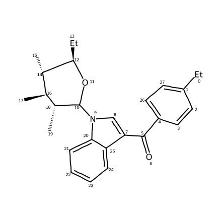 CCc1ccc(C(=O)c2cn(C3O[C@H](CC)[C@@H](C)[C@H](C)[C@H]3C)c3ccccc23)cc1